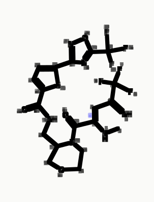 CN/C(=C\C(=N)C(F)(F)F)C(=O)N1CCOCC1CNC(=O)c1ccc(-c2noc(C(F)(F)F)n2)s1